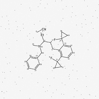 CC#N.CCC(CCc1c(C2(F)CC2)cccc1C1(F)CC1)N(C)Cc1ccccc1